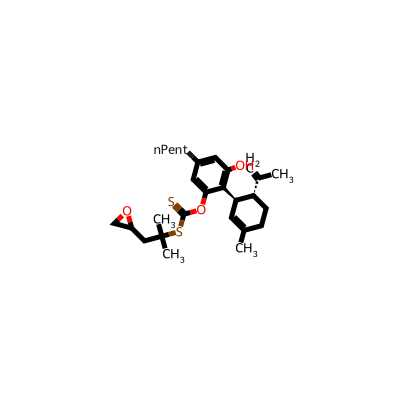 C=C(C)[C@@H]1CCC(C)=C[C@H]1c1c(O)cc(CCCCC)cc1OC(=S)SC(C)(C)CC1CO1